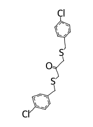 O=C(CSCc1ccc(Cl)cc1)CSCc1ccc(Cl)cc1